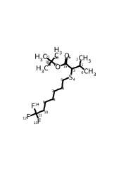 CC(C)C(SCCCCCCC(F)(F)F)C(=O)OC(C)(C)C